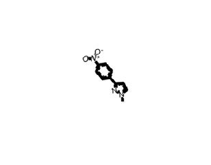 Cn1ccc(-c2ccc([N+](=O)[O-])cc2)n1